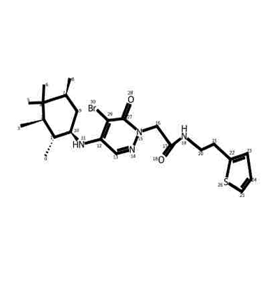 C[C@@H]1[C@@H](C)C(C)(C)[C@@H](C)C[C@H]1Nc1cnn(CC(=O)NCCc2cccs2)c(=O)c1Br